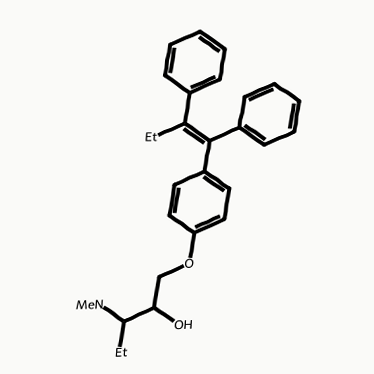 CCC(=C(c1ccccc1)c1ccc(OCC(O)C(CC)NC)cc1)c1ccccc1